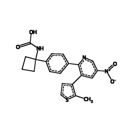 Cc1sccc1-c1cc([N+](=O)[O-])cnc1-c1ccc(C2(NC(=O)O)CCC2)cc1